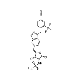 CS(=O)(=O)NN1C(=O)S/C(=C\c2ccc3c(cnn3Cc3ccc(C#N)cc3C(F)(F)F)c2)C1=O